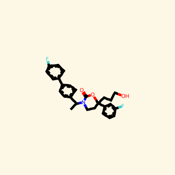 CC(c1ccc(-c2ccc(F)cc2)cc1)N1CCC(CCCO)(c2cccc(F)c2)OC1=O